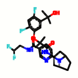 CC(C)(Oc1cc(C(C)(C)O)c(F)cc1F)C(=O)NC1CC2CCC(C1)N2c1ccc(C(=O)NCC(F)F)cn1